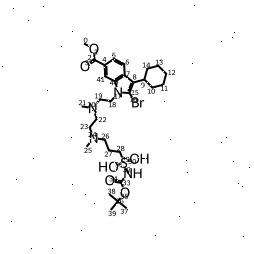 COC(=O)c1ccc2c(C3CCCCC3)c(Br)n(CCN(C)CCN(C)CCCS(O)(O)NC(=O)OC(C)(C)C)c2c1